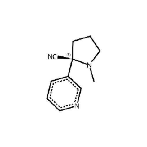 CN1CCC[C@@]1(C#N)c1cccnc1